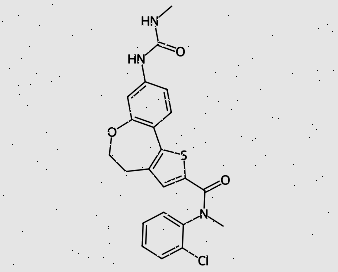 CNC(=O)Nc1ccc2c(c1)OCCc1cc(C(=O)N(C)c3ccccc3Cl)sc1-2